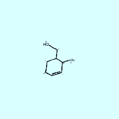 CCCCC1C=CCCC1CO